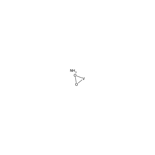 N.[O]1[O][V]1